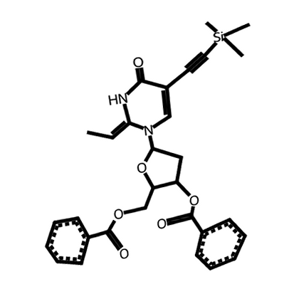 CC=C1NC(=O)C(C#C[Si](C)(C)C)=CN1C1CC(OC(=O)c2ccccc2)C(COC(=O)c2ccccc2)O1